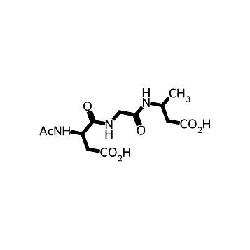 CC(=O)NC(CC(=O)O)C(=O)NCC(=O)NC(C)CC(=O)O